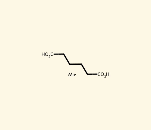 O=C(O)CCCCC(=O)O.[Mn]